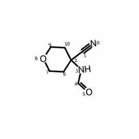 N#CC1(NC=O)CCOCC1